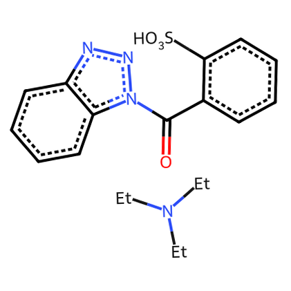 CCN(CC)CC.O=C(c1ccccc1S(=O)(=O)O)n1nnc2ccccc21